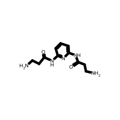 NCCC(=O)Nc1cccc(NC(=O)CCN)n1